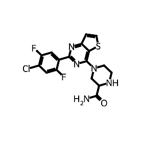 NC(=O)C1CN(c2nc(-c3cc(F)c(Cl)cc3F)nc3ccsc23)CCN1